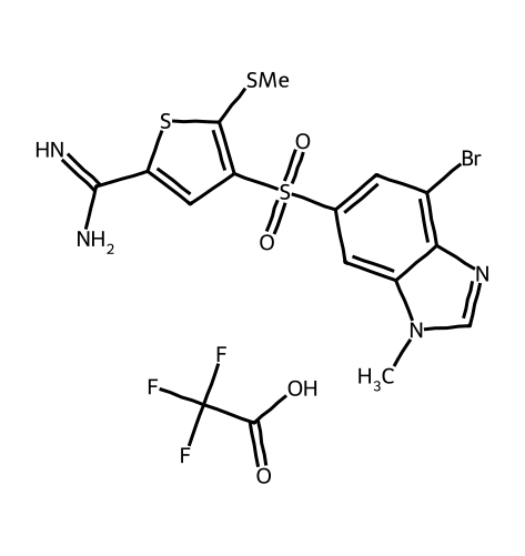 CSc1sc(C(=N)N)cc1S(=O)(=O)c1cc(Br)c2ncn(C)c2c1.O=C(O)C(F)(F)F